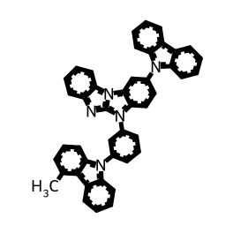 Cc1cccc2c1c1ccccc1n2-c1cccc(-n2c3ccc(-n4c5ccccc5c5ccccc54)cc3n3c4ccccc4nc23)c1